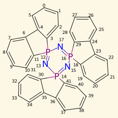 c1ccc2c(c1)-c1ccccc1P21=NP2(=NP3(=N1)c1ccccc1-c1ccccc13)c1ccccc1-c1ccccc12